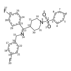 O=S(=O)(c1ccccc1)N1CCC(C(=NCc2ccc(F)cc2)c2ccc(F)cc2)CC1